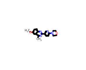 COc1ccc2nc(-c3ccc(N4CCOCC4)nc3)nc(C)c2c1